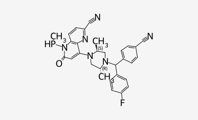 CPn1c(=O)cc(N2C[C@@H](C)N(C(c3ccc(F)cc3)c3ccc(C#N)cc3)C[C@@H]2C)c2nc(C#N)ccc21